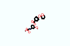 COC(=O)/C=C/c1ccc(OC(=O)c2ccc(OC3CCCCO3)cc2)c(OC)c1